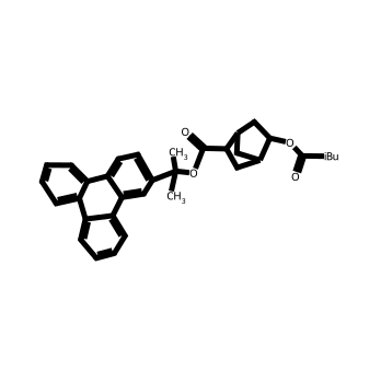 CCC(C)C(=O)OC1CC2CC1CC2C(=O)OC(C)(C)c1ccc2c3ccccc3c3ccccc3c2c1